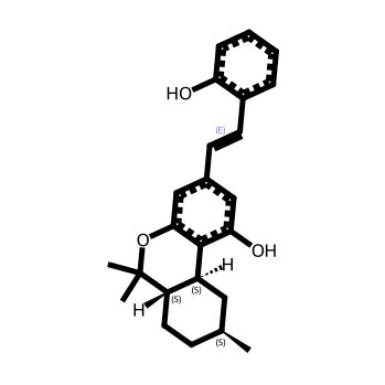 C[C@H]1CC[C@H]2[C@H](C1)c1c(O)cc(/C=C/c3ccccc3O)cc1OC2(C)C